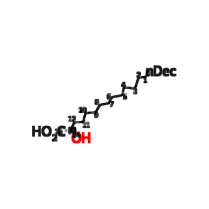 CCCCCCCCCCCCCCCCCCCCCC[C@H](O)C(=O)O